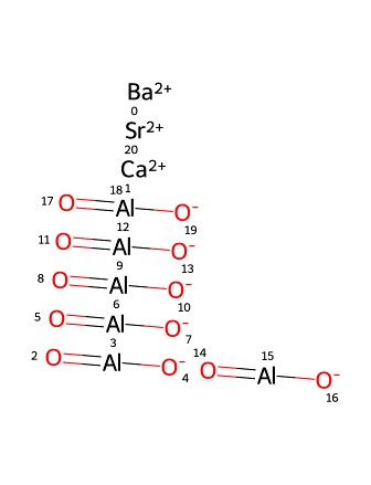 [Ba+2].[Ca+2].[O]=[Al][O-].[O]=[Al][O-].[O]=[Al][O-].[O]=[Al][O-].[O]=[Al][O-].[O]=[Al][O-].[Sr+2]